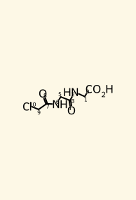 O=C(O)CNC(=O)CNC(=O)CCl